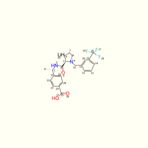 C[C@H](NC(=O)[C@H]1CCCN1Cc1cccc(C(F)(F)F)c1)c1ccc(C(=O)O)cc1.[LiH]